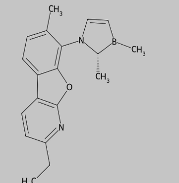 CCc1ccc2c(n1)oc1c(N3C=CB(C)[C@@H]3C)c(C)ccc12